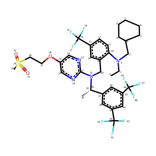 CCN(CC1CC[CH]CC1)c1ccc(C(F)(F)F)cc1CN(c1ncc(OCCS(C)(=O)=O)cn1)[C@@H](C)c1cc(C(F)(F)F)cc(C(F)(F)F)c1